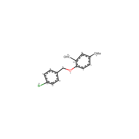 COc1ccc(OCc2ccc(Br)cc2)c(C=O)c1